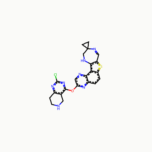 Clc1nc2c(c(Oc3cnc4c(ccc5sc6c(c54)NCC4(CC4)N=C6)n3)n1)CNCC2